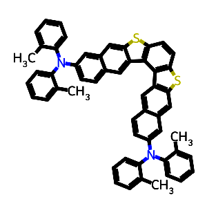 Cc1ccccc1N(c1ccc2cc3c(cc2c1)sc1ccc2sc4cc5cc(N(c6ccccc6C)c6ccccc6C)ccc5cc4c2c13)c1ccccc1C